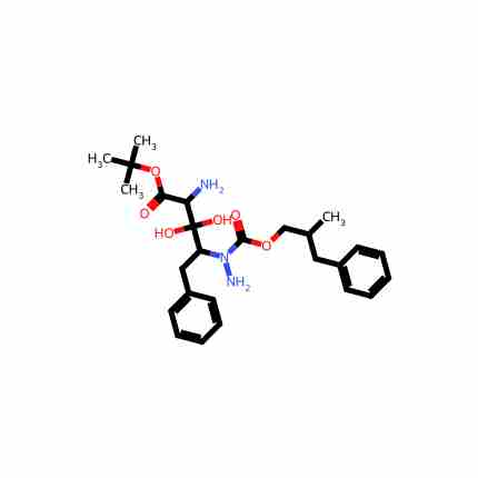 CC(COC(=O)N(N)C(Cc1ccccc1)C(O)(O)C(N)C(=O)OC(C)(C)C)Cc1ccccc1